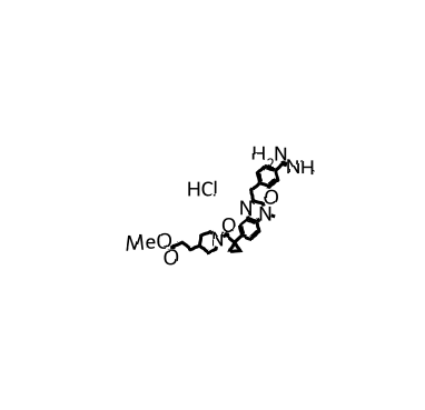 COC(=O)CCC1CCN(C(=O)C2(c3ccc4c(c3)nc(Cc3ccc(C(=N)N)cc3)c(=O)n4C)CC2)CC1.Cl